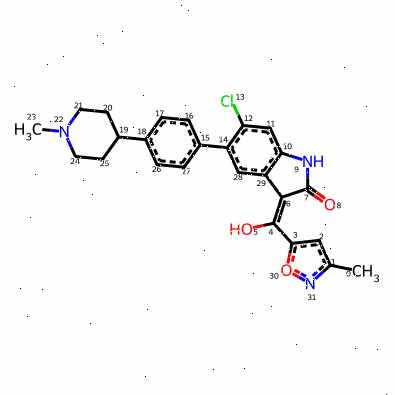 Cc1cc(/C(O)=C2\C(=O)Nc3cc(Cl)c(-c4ccc(C5CCN(C)CC5)cc4)cc32)on1